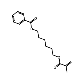 C=C(C)C(=O)OCCCCCCOC(=O)c1ccccc1